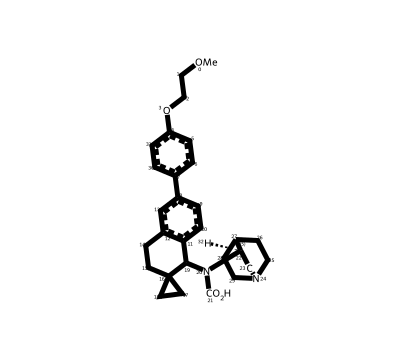 COCCOc1ccc(-c2ccc3c(c2)CCC2(CC2)C3N(C(=O)O)[C@@H]2CN3CCC2CC3)cc1